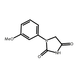 COc1cccc(N2CC(=O)NC2=O)c1